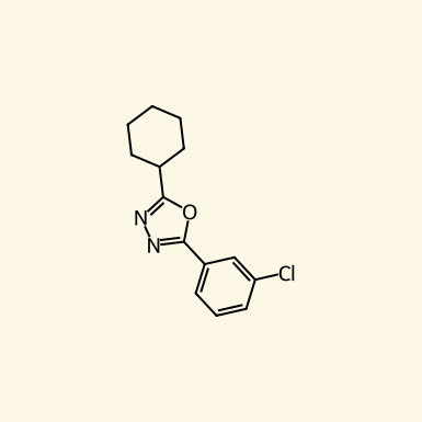 Clc1cccc(-c2nnc(C3CCCCC3)o2)c1